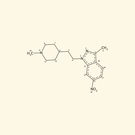 Cc1nn(CCC2CCN(C)CC2)c2cc([N+](=O)[O-])ccc12